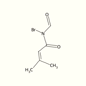 CC(C)=CC(=O)N(Br)C=O